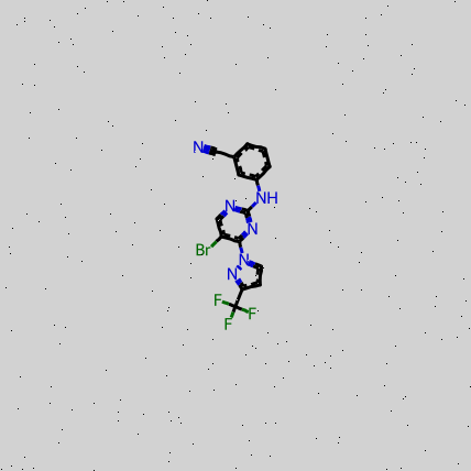 N#Cc1cccc(Nc2ncc(Br)c(-n3ccc(C(F)(F)F)n3)n2)c1